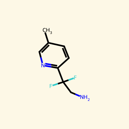 Cc1ccc(C(F)(F)CN)nc1